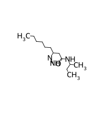 CCCCCCC(CC(=O)NC(C)CC)N=N